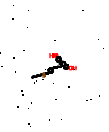 CCCCCCSCCc1ccc(CCCCC2c3ccc(O)cc3CCC2(C)c2ccc(O)cc2)cc1